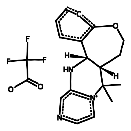 CC1(C)[C@H]2CCOc3ccccc3[C@H]2Nc2cncc[n+]21.O=C([O-])C(F)(F)F